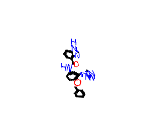 O=C(Nc1ccc(OCc2ccccc2)c(-n2cnnn2)c1)c1cccc2[nH]cnc12